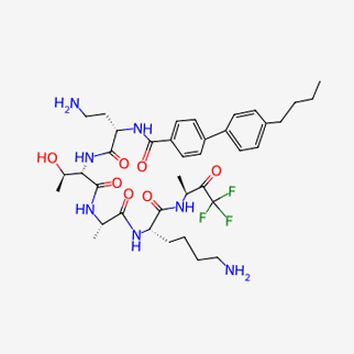 CCCCc1ccc(-c2ccc(C(=O)N[C@@H](CCN)C(=O)N[C@H](C(=O)N[C@@H](C)C(=O)N[C@@H](CCCCN)C(=O)N[C@@H](C)C(=O)C(F)(F)F)[C@@H](C)O)cc2)cc1